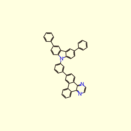 c1ccc(-c2ccc3c(c2)c2cc(-c4ccccc4)ccc2n3-c2cccc(-c3ccc4c(c3)c3ccccc3c3nccnc43)c2)cc1